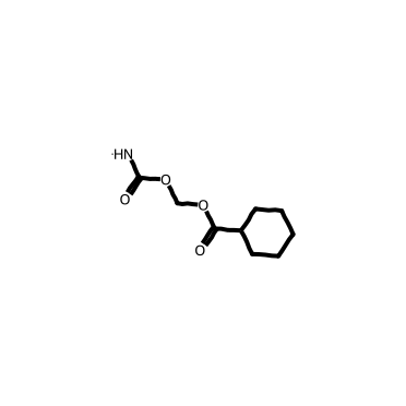 [NH]C(=O)OCOC(=O)C1CCCCC1